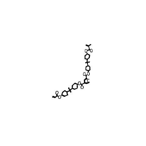 C=CC(=O)OC1CCC(C(C)(C)C2CCC(OC(=O)c3cccc(C(=O)OC4CCC(C(C)(C)C5CCC(OC(=O)C(=C)C)CC5)CC4)c3)CC2)CC1